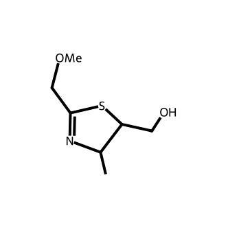 COCC1=NC(C)C(CO)S1